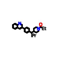 CCC(=O)N1CCC(C(c2ccc(-c3cnc4ccccc4c3)cc2)C(C)C)CC1